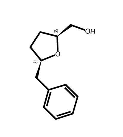 OC[C@@H]1CC[C@H](Cc2ccccc2)O1